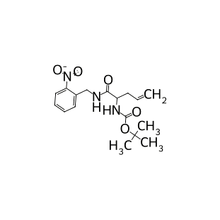 C=CCC(NC(=O)OC(C)(C)C)C(=O)NCc1ccccc1[N+](=O)[O-]